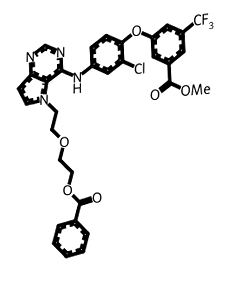 COC(=O)c1cc(Oc2ccc(Nc3ncnc4ccn(CCOCCOC(=O)c5ccccc5)c34)cc2Cl)cc(C(F)(F)F)c1